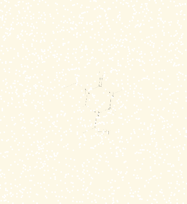 Br.CCN1CN(CC)C(=O)N(C)C1=O